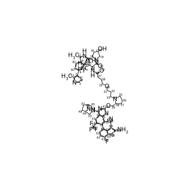 Cc1ncsc1-c1ccc([C@H](C)NC(=O)[C@@H]2C[C@@H](O)CN2C(=O)[C@@H](NC(=O)CCCOCCCN2CCC[C@H]2COc2nc(N3CC4CCC(C3)N4)c3cc(C(F)(F)F)c(-c4ccc(F)c5sc(N)c(C#N)c45)c(F)c3n2)C(C)(C)C)cc1